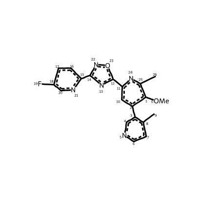 COc1c(-c2cnccc2C)cc(-c2nc(-c3ccc(F)cn3)no2)nc1C